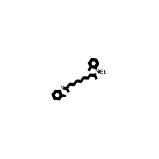 CCN(/C(C)=C/C=C/C=C/C=C/C(C)=N/c1ccccc1C)c1ccccc1C